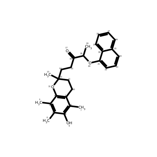 Cc1c(C)c2c(c(C)c1O)CCC(C)(CCC(=O)C(C)Oc1cccc3ccccc13)O2